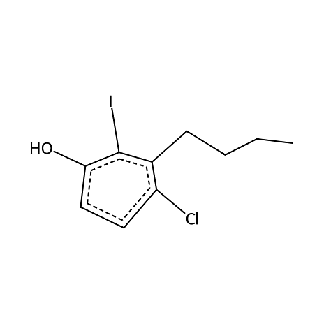 CCCCc1c(Cl)ccc(O)c1I